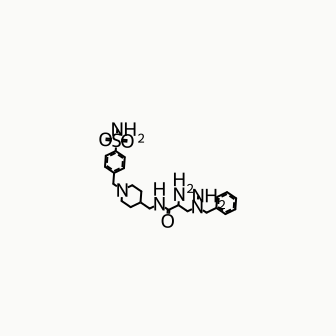 NC(CN(N)Cc1ccccc1)C(=O)NCC1CCN(Cc2ccc(S(N)(=O)=O)cc2)CC1